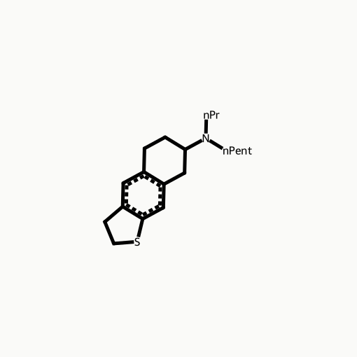 CCCCCN(CCC)C1CCc2cc3c(cc2C1)SCC3